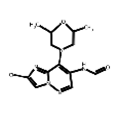 CC1CN(c2c(NC=O)cnn3cc(Cl)nc23)CC(C)O1